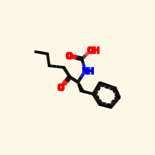 CCCCC(=O)[C@H](Cc1ccccc1)NC(=O)O